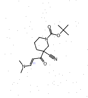 CN(C)/C=C/C(=O)C1(C#N)CCCN(C(=O)OC(C)(C)C)C1